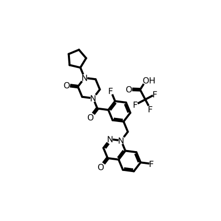 O=C(O)C(F)(F)F.O=C(c1cc(Cn2ncc(=O)c3ccc(F)cc32)ccc1F)N1CCN(C2CCCC2)C(=O)C1